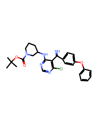 CC(C)(C)OC(=O)N1CCCC(Nc2ncnc(Cl)c2C(=N)c2ccc(Oc3ccccc3)cc2)C1